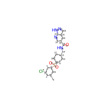 Cc1cc(Cl)cc(S(=O)(=O)c2ccc(CNC(=O)c3cnc4[nH]ncc4c3)cc2)c1